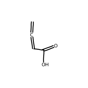 C=C=CC(=O)O